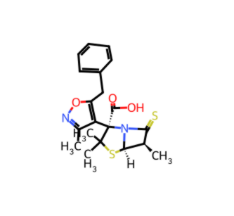 Cc1noc(Cc2ccccc2)c1[C@@]1(C(=O)O)N2C(=S)[C@@H](C)[C@H]2SC1(C)C